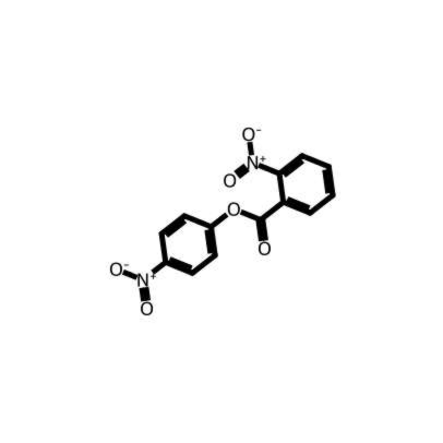 O=C(Oc1ccc([N+](=O)[O-])cc1)c1ccccc1[N+](=O)[O-]